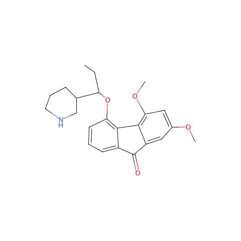 CCC(Oc1cccc2c1-c1c(OC)cc(OC)cc1C2=O)C1CCCNC1